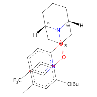 Cc1ccc(O[C@H]2C[C@H]3CCC[C@@H](C2)N3Oc2ccc(C(F)(F)F)cn2)c(OCC(C)C)c1